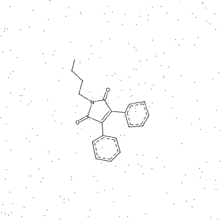 CCCCN1C(=O)C(c2ccccc2)=C(c2ccccc2)C1=O